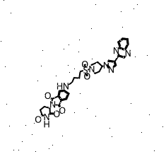 O=C1CCC(N2C(=O)c3ccc(NCCCCS(=O)(=O)N4CCC(n5cc(-c6cnc7ccccc7n6)cn5)CC4)cc3C2=O)C(=O)N1